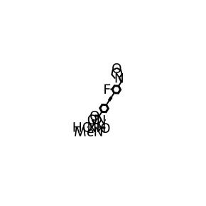 CNC(=O)C(C(=O)NO)N(C)C(=O)c1ccc(C#Cc2ccc(CN3CCCOCC3)cc2F)cc1